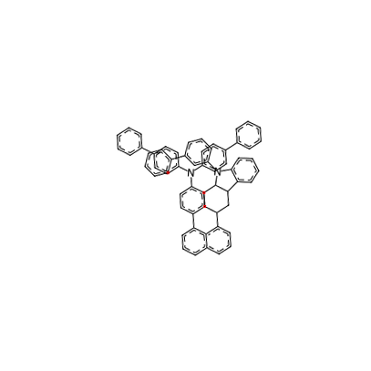 c1ccc(-c2ccc(N(c3ccc(-c4ccccc4)cc3)c3ccc(-c4cccc5cccc(C6CCC7C(C6)c6ccccc6N7c6cccc(-c7ccccc7)c6)c45)cc3)cc2)cc1